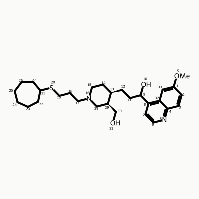 COc1ccc2nccc(C(O)CC[C@@H]3CCN(CCCSC4CCCCCC4)C[C@@H]3CO)c2c1